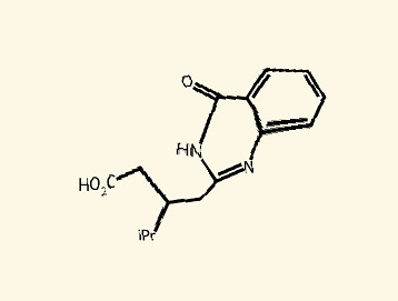 CC(C)C(CC(=O)O)Cc1nc2ccccc2c(=O)[nH]1